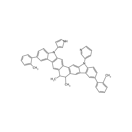 Cc1ccccc1-c1ccc2c(c1)c1cc3c(cc1n2-c1cccnc1)-c1cc2c(cc1C(C)C3C)c1cc(-c3ccccc3C)ccc1n2-c1cc[nH]c1